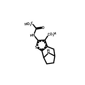 O=C(O)C(=O)Nc1sc2c(c1C(=O)O)CC1CCC2N1